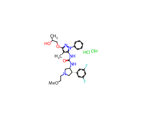 COCCN1C[C@@H](NC(=O)Nc2c(C)c(OC[C@H](C)O)nn2-c2ccccc2)[C@H](c2cc(F)cc(F)c2)C1.Cl.Cl